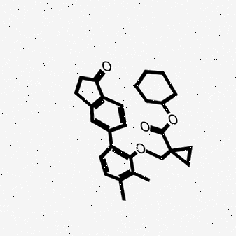 Cc1ccc(-c2ccc3c(c2)CCC3=O)c(OCC2(C(=O)OC3CCCCC3)CC2)c1C